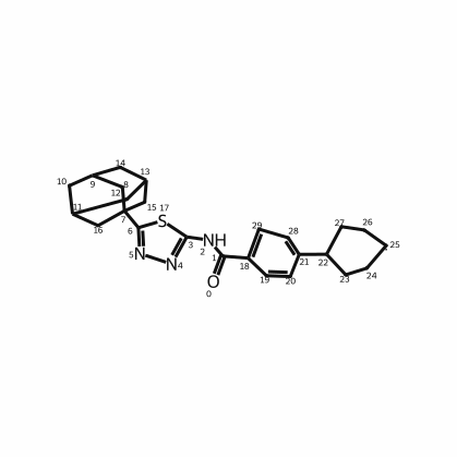 O=C(Nc1nnc(C23CC4CC(CC(C4)C2)C3)s1)c1ccc(C2CC[CH]CC2)cc1